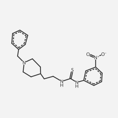 O=[N+]([O-])c1cccc(NC(=S)NCCC2CCN(Cc3ccccc3)CC2)c1